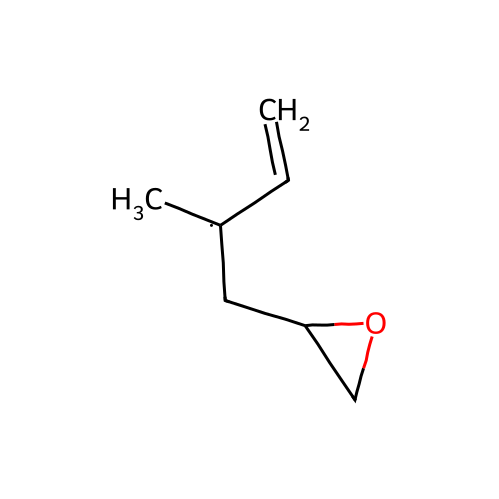 C=C[C](C)CC1CO1